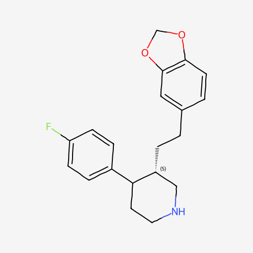 Fc1ccc(C2CCNC[C@H]2CCc2ccc3c(c2)OCO3)cc1